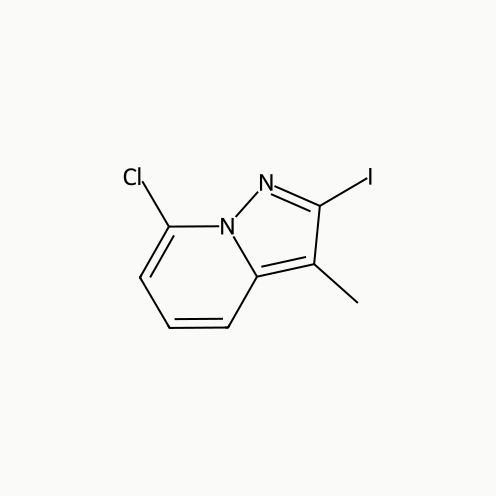 Cc1c(I)nn2c(Cl)cccc12